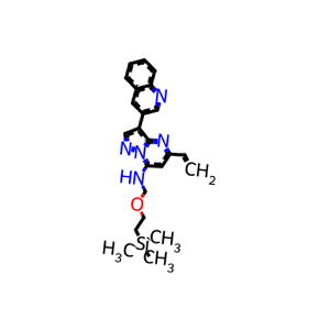 C=Cc1cc(NCOCC[Si](C)(C)C)n2ncc(-c3cnc4ccccc4c3)c2n1